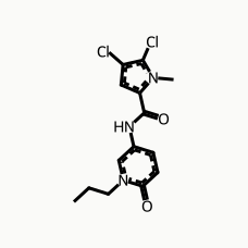 CCCn1cc(NC(=O)c2cc(Cl)c(Cl)n2C)ccc1=O